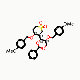 COc1ccc(CO[C@@H]2CCS(=O)(=O)C[C@H]2[C@@H]2OC(c3ccccc3)OC[C@H]2OCc2ccc(OC)cc2)cc1